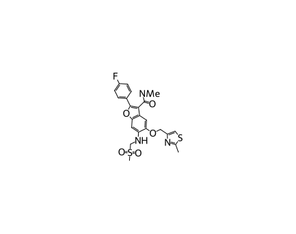 CNC(=O)c1c(-c2ccc(F)cc2)oc2cc(NCS(C)(=O)=O)c(OCc3csc(C)n3)cc12